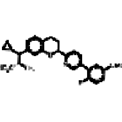 COc1ccc(F)c(-c2ccc(C3CCc4ccc(C(C5CC5)[C@H](C)C(=O)O)cc4O3)nc2)c1